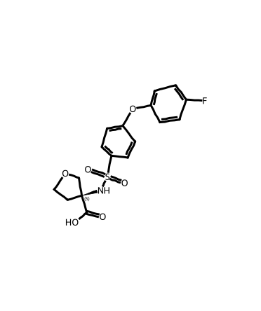 O=C(O)[C@]1(NS(=O)(=O)c2ccc(Oc3ccc(F)cc3)cc2)CCOC1